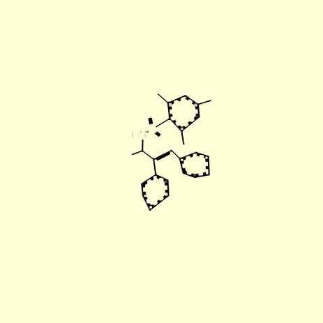 Cc1cc(C)c(S(=O)(=O)NC(/C(=C/c2ccccc2)c2ccccc2)C(C)C)c(C)c1